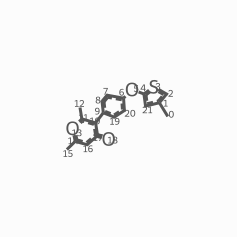 Cc1csc(Oc2ccc(-c3c(C)oc(C)cc3=O)cc2)c1